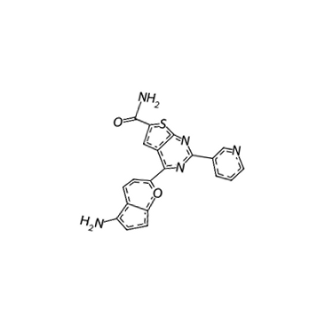 NC(=O)c1cc2c(-c3ccc4c(N)ccc-4o3)nc(-c3cccnc3)nc2s1